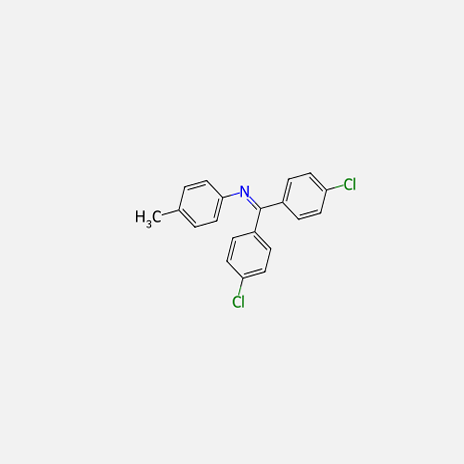 Cc1ccc(N=C(c2ccc(Cl)cc2)c2ccc(Cl)cc2)cc1